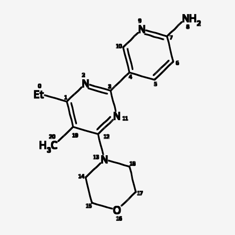 CCc1nc(-c2ccc(N)nc2)nc(N2CCOCC2)c1C